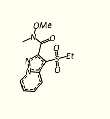 CCS(=O)(=O)c1c(C(=O)N(C)OC)nn2ccccc12